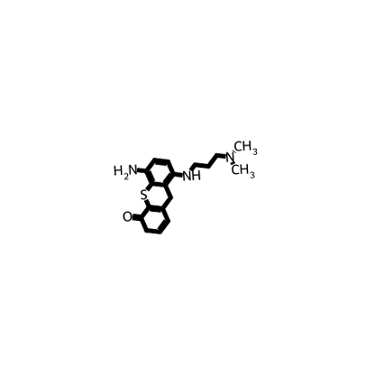 CN(C)CCCNc1ccc(N)c2c1CC1=C(S2)C(=O)CC=C1